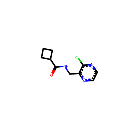 O=C(NCc1nccnc1Cl)C1CCC1